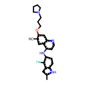 Cc1cc2c(F)c(Nc3ccnc4cc(OCCCN5CCCC5)c(C#N)cc34)ccc2[nH]1